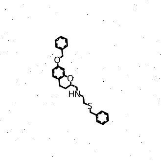 c1ccc(COc2ccc3c(c2)OC(CNCCSCc2ccccc2)CC3)cc1